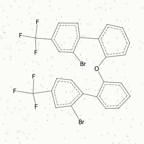 FC(F)(F)c1ccc(-c2ccccc2Oc2ccccc2-c2ccc(C(F)(F)F)cc2Br)c(Br)c1